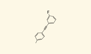 Cc1ccc(C#Cc2cccc(F)c2)cc1